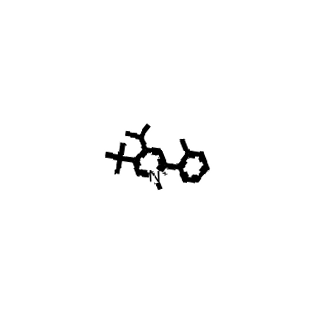 Cc1ccccc1-c1cc(C(C)C)c(C(C)(C)C)c[n+]1C